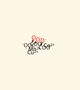 O=C([O-])[O-].O=C([O-])[O-].O=C([O-])[O-].[Co+2].[Cu+2].[Mn+2]